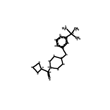 CC(C)(C)c1cc(CC2CCN(C(=O)C3CCC3)CC2)ncn1